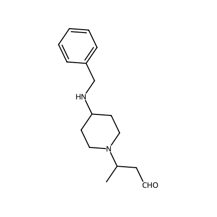 CC(CC=O)N1CCC(NCc2ccccc2)CC1